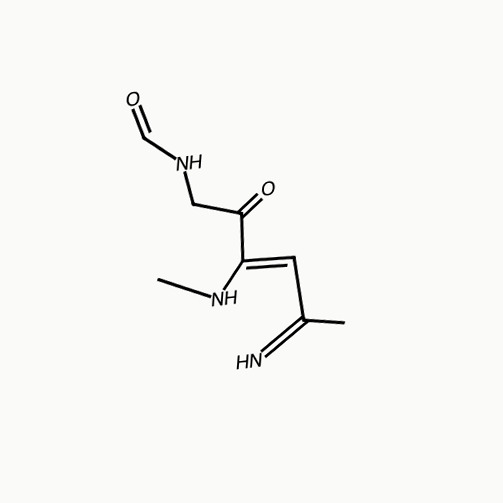 CN/C(=C\C(C)=N)C(=O)CNC=O